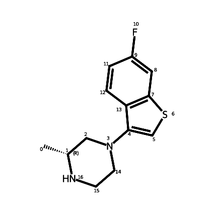 C[C@@H]1CN(c2csc3cc(F)ccc23)CCN1